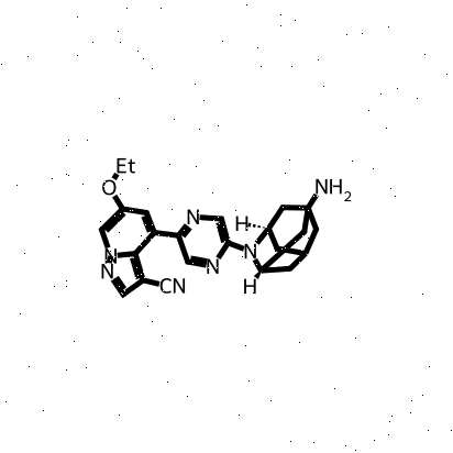 CCOc1cc(-c2cnc(N3[C@@H]4CC5C[C@H]3CC(N)(C5)C4)cn2)c2c(C#N)cnn2c1